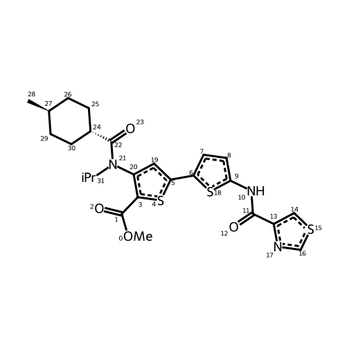 COC(=O)c1sc(-c2ccc(NC(=O)c3cscn3)s2)cc1N(C(=O)[C@H]1CC[C@H](C)CC1)C(C)C